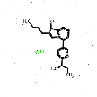 CCCCC1=Cc2c(-c3ccc(C(C)CC)cc3)cccc2[CH]1[Zr+2].[Cl-].[Cl-]